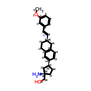 COc1cccc(/C=C/[C@@H]2CCc3cc([C@H]4CC[C@](N)(CO)C4)ccc3C2)c1